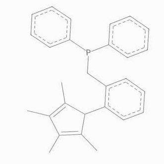 CC1=C(C)C(c2ccccc2CP(c2ccccc2)c2ccccc2)C(C)=C1C